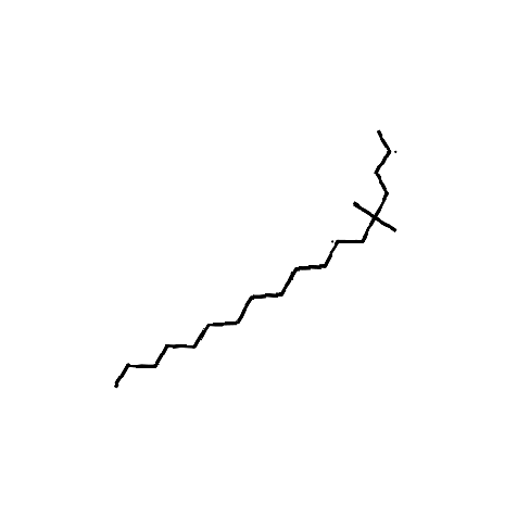 C[CH]CCC(C)(C)C[CH]CCCCCCCCCCC